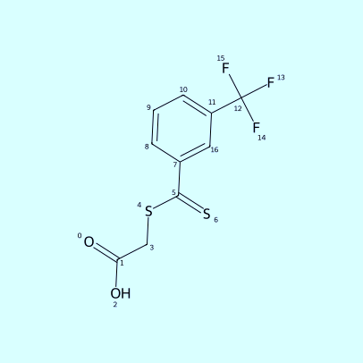 O=C(O)CSC(=S)c1cccc(C(F)(F)F)c1